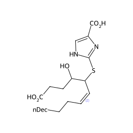 CCCCCCCCCCCC/C=C\C(Sc1nc(C(=O)O)c[nH]1)C(O)CCC(=O)O